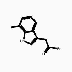 Cc1cccc2c(CC(=O)C(C)C)c[nH]c12